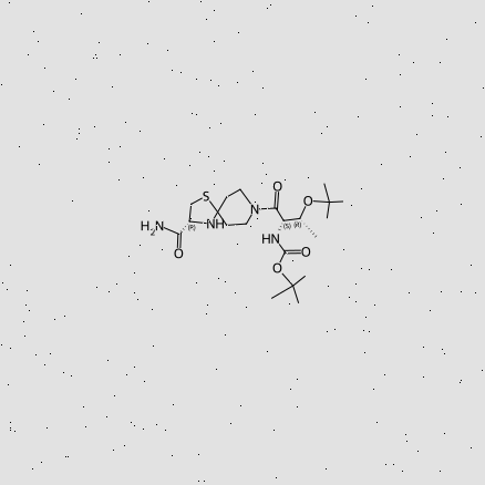 C[C@@H](OC(C)(C)C)[C@H](NC(=O)OC(C)(C)C)C(=O)N1CCC2(CC1)N[C@H](C(N)=O)CS2